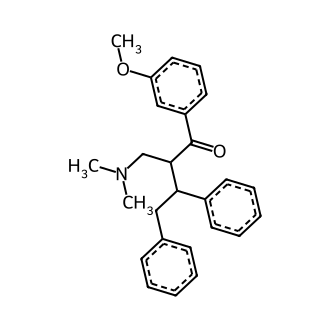 COc1cccc(C(=O)C(CN(C)C)C(Cc2ccccc2)c2ccccc2)c1